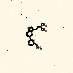 CN(C)CCc1coc2ccc(-c3cccc(CN)n3)cc12